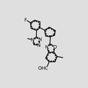 Cc1cc(C=O)cc2nc(-c3cccc(-c4ccc(F)cc4-c4nncn4C)c3)oc12